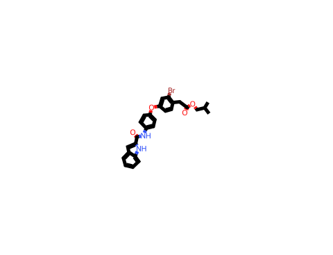 CC(C)COC(=O)Cc1ccc(Oc2ccc(NC(=O)c3cc4ccccc4[nH]3)cc2)cc1Br